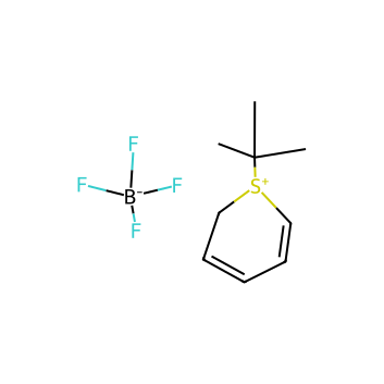 CC(C)(C)[S+]1C=CC=CC1.F[B-](F)(F)F